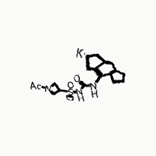 CC(=O)N1CC(S(=O)(=O)NC(=O)Nc2c3c(cc4c2CCC4)CCC3)C1.[K]